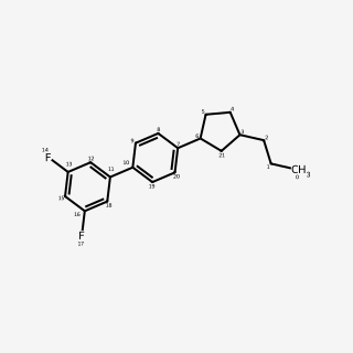 CCCC1CCC(c2ccc(-c3cc(F)cc(F)c3)cc2)C1